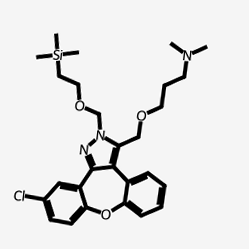 CN(C)CCCOCc1c2c(nn1COCC[Si](C)(C)C)-c1cc(Cl)ccc1Oc1ccccc1-2